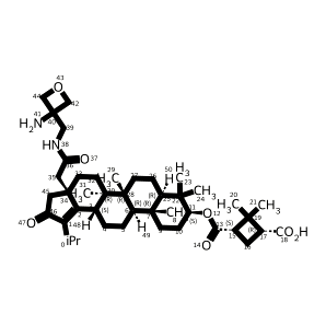 CC(C)C1=C2[C@H]3CC[C@@H]4[C@@]5(C)CC[C@H](OC(=O)[C@H]6C[C@@H](C(=O)O)C6(C)C)C(C)(C)[C@@H]5CC[C@@]4(C)[C@]3(C)CC[C@@]2(CC(=O)NCC2(N)COC2)CC1=O